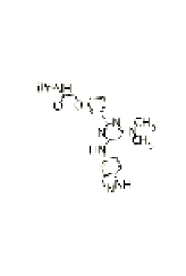 CC(C)NC(=O)COc1cccc(-c2nc(Nc3ccc4[nH]ncc4c3)cc(N(C)C)n2)c1